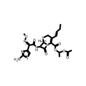 CC/C=C/C1=C(C(=O)OC(C)OC(C)=O)N2C(=O)C(NC(=O)/C(=N\OC)c3csc(N)n3)[C@H]2SC1